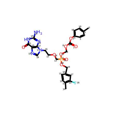 Cc1ccc(OC(=O)OCOP(=O)(COCCn2cnc3c(=O)[nH]c(N)nc32)OCc2ccc(C)c(F)c2)cc1